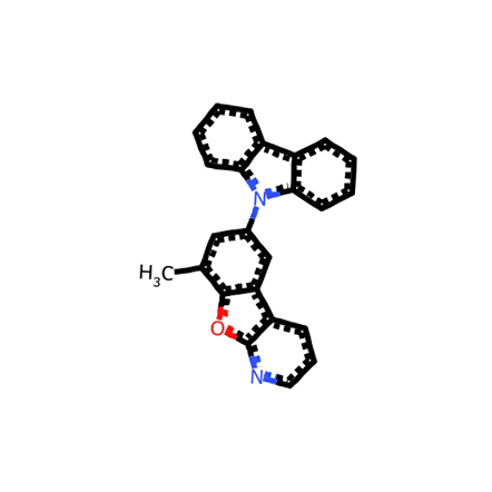 Cc1cc(-n2c3ccccc3c3ccccc32)cc2c1oc1ncccc12